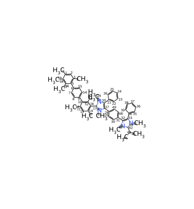 Cc1cc(C)c(-c2ccc(-c3c(C)cc(C)c(C4N(C)C(c5ccccc5)=C(c5ccc(C6=C(c7ccccc7)N(C)C(C(C)C)N6C)cc5)N4C)c3C)cc2)c(C)c1C